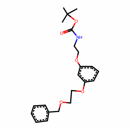 CC(C)(C)OC(=O)NCCOc1cccc(OCCOCc2ccccc2)c1